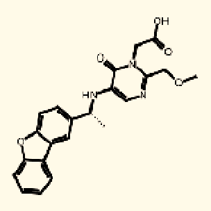 COCc1ncc(N[C@H](C)c2ccc3oc4ccccc4c3c2)c(=O)n1CC(=O)O